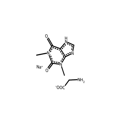 Cn1c(=O)c2[nH]cnc2n(C)c1=O.NCC(=O)[O-].[Na+]